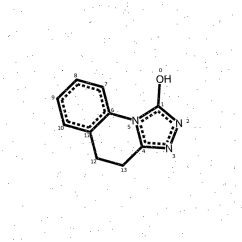 Oc1nnc2n1-c1ccccc1CC2